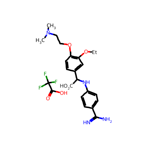 CCOc1cc(C(Nc2ccc(C(=N)N)cc2)C(=O)O)ccc1OCCN(C)C.O=C(O)C(F)(F)F